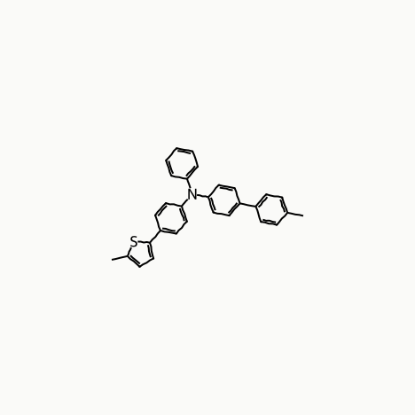 Cc1ccc(-c2ccc(N(c3ccccc3)c3ccc(-c4ccc(C)s4)cc3)cc2)cc1